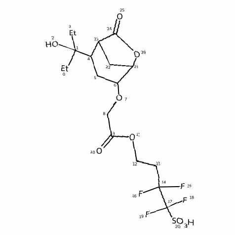 CCC(O)(CC)C1CC(OCC(=O)OCCC(F)(F)C(F)(F)S(=O)(=O)O)C2CC1C(=O)O2